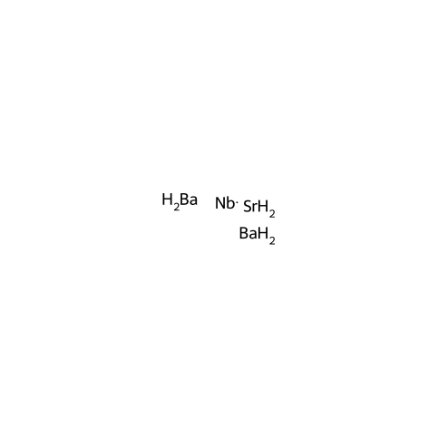 [BaH2].[BaH2].[Nb].[SrH2]